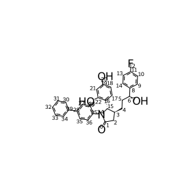 O=C1C[C@H](CC[C@H](O)c2ccc(F)cc2)[C@@H](c2ccc(O)cc2O)N1c1ccc(-c2ccccc2)cc1